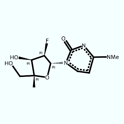 CNc1ccn([C@@H]2O[C@](C)(CO)[C@@H](O)[C@H]2F)c(=O)n1